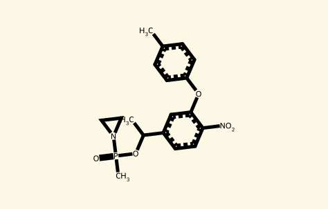 Cc1ccc(Oc2cc(C(C)OP(C)(=O)N3CC3)ccc2[N+](=O)[O-])cc1